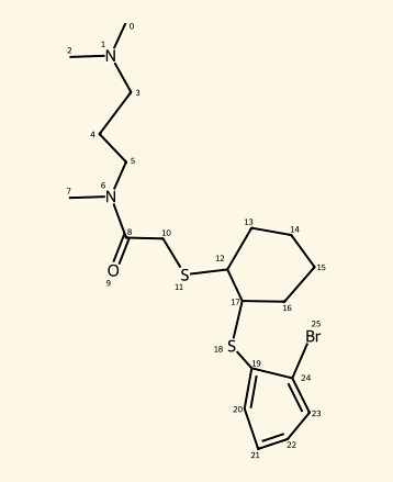 CN(C)CCCN(C)C(=O)CSC1CCCCC1Sc1ccccc1Br